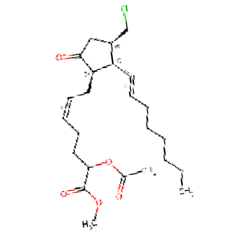 CCCCCC/C=C/[C@H]1[C@H](CCl)CC(=O)[C@@H]1C/C=C\CCC(OC(C)=O)C(=O)OC